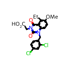 CCc1c(OC)ccc2c1c(=O)n(CC(=O)O)c(=O)n2Cc1ccc(Cl)cc1Cl